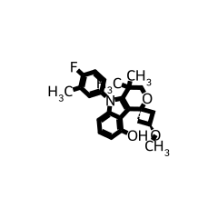 CO[C@H]1C[C@@]2(C1)OCC(C)(C)c1c2c2c(O)cccc2n1-c1ccc(F)c(C)c1